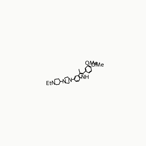 CCN1CCC(N2CCN(c3ccc4[nH]c(-c5ccc(OC)c(OC)c5)c(C)c4c3)CC2)CC1